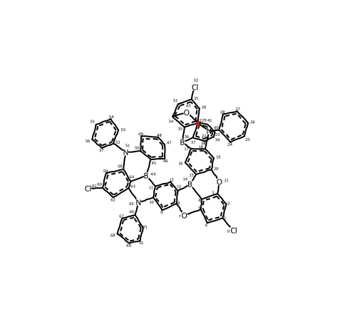 Clc1cc2c3c(c1)Oc1cc4c(cc1B3c1cc3c(cc1O2)N(c1ccccc1)c1cc(Cl)cc2c1B3c1ccccc1O2)B1c2ccccc2N(c2ccccc2)c2cc(Cl)cc(c21)N4c1ccccc1